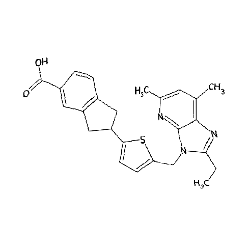 CCc1nc2c(C)cc(C)nc2n1Cc1ccc(C2Cc3ccc(C(=O)O)cc3C2)s1